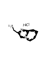 Cl.NCc1cn2ccccc2n1